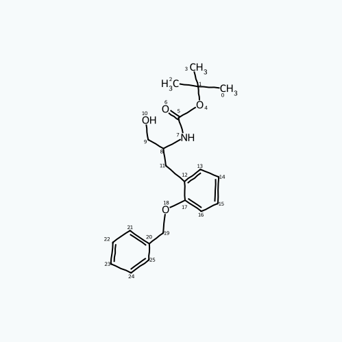 CC(C)(C)OC(=O)NC(CO)Cc1ccccc1OCc1ccccc1